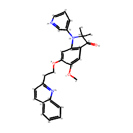 COc1cc2c(cc1OCCc1ccc3ccccc3n1)N(c1cccnc1)C(C)(C)C2=O